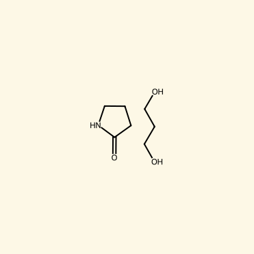 O=C1CCCN1.OCCCO